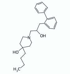 CCCCC1(O)CCN(CC(O)Cc2ccccc2-c2ccccc2)CC1